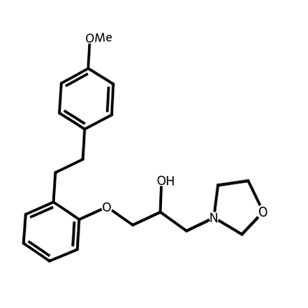 COc1ccc(CCc2ccccc2OCC(O)CN2CCOC2)cc1